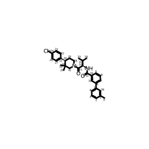 Cc1cccc(-c2cccc(C(=O)N[C@@H](C(=O)N3CC[C@H](c4ccc(Cl)cc4)C(C)(C)C3)C(C)C)c2)c1